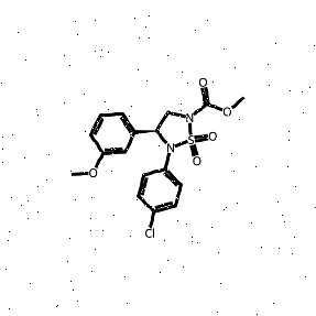 COC(=O)N1C[C@H](c2cccc(OC)c2)N(c2ccc(Cl)cc2)S1(=O)=O